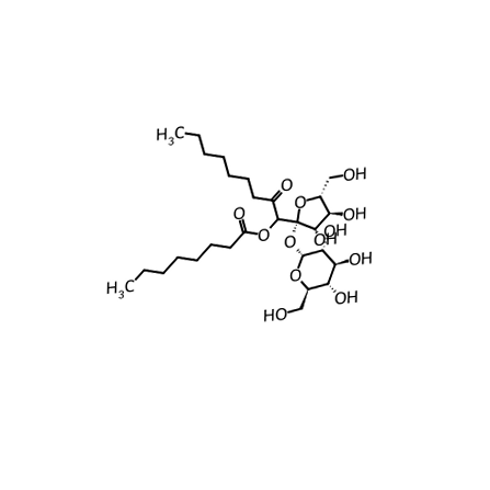 CCCCCCCC(=O)OC(C(=O)CCCCCCC)[C@@]1(O[C@H]2O[C@H](CO)[C@@H](O)[C@H](O)[C@H]2O)O[C@H](CO)[C@@H](O)[C@@H]1O